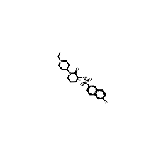 CCN1CCC(N2CCC[C@H](NS(=O)(=O)c3ccc4cc(Cl)ccc4c3)C2=O)CC1